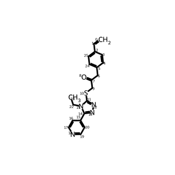 C=Cc1ccc(CC(=O)CSc2nnc(-c3ccncc3)n2CC)cc1